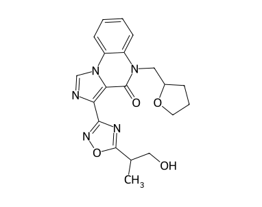 CC(CO)c1nc(-c2ncn3c2c(=O)n(CC2CCCO2)c2ccccc23)no1